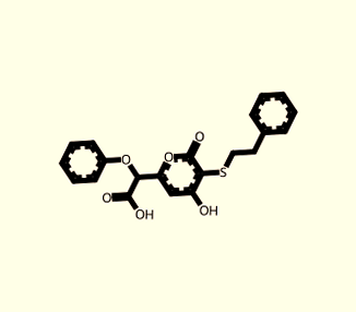 O=C(O)C(Oc1ccccc1)c1cc(O)c(SCCc2ccccc2)c(=O)o1